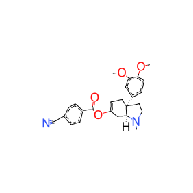 COc1ccc([C@@]23CC=C(OC(=O)c4ccc(C#N)cc4)C[C@@H]2N(C)CC3)cc1OC